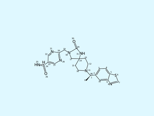 C[C@H](c1ccc2scnc2c1)N1CCC2(CC1)CN(Cc1ncc([SH](=N)=O)cn1)C(=O)N2